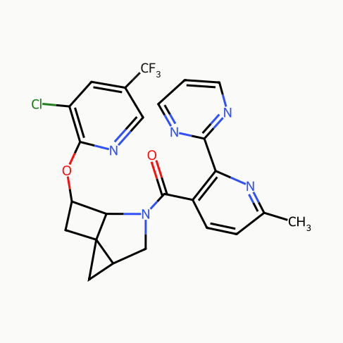 Cc1ccc(C(=O)N2CC3CC34CC(Oc3ncc(C(F)(F)F)cc3Cl)C24)c(-c2ncccn2)n1